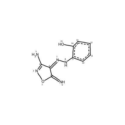 N=C1ON=C(N)/C1=N/Nc1ccccc1O